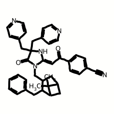 CC1(C)C2CC(CN3C(=O)C(Cc4ccncc4)(Cc4ccncc4)N/C3=C\C(=O)c3ccc(C#N)cc3)C(Cc3ccccc3)C1C2